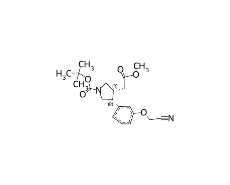 COC(=O)C[C@H]1CN(C(=O)OC(C)(C)C)C[C@H]1c1cccc(OCC#N)c1